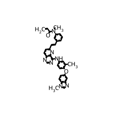 C=CC(=O)N(C)c1cccc(C=Cc2ccc3ncnc(Nc4ccc(Oc5ccc6c(c5)ncn6C)c(C)c4)c3n2)c1